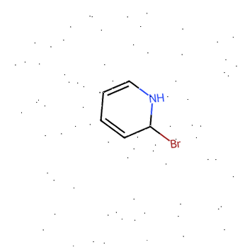 BrC1C=C[C]=CN1